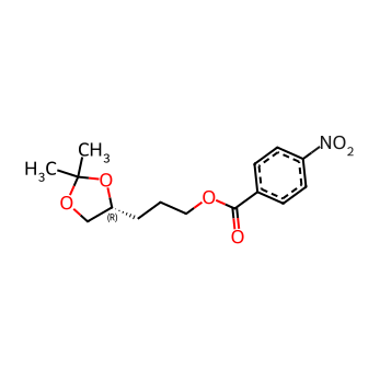 CC1(C)OC[C@@H](CCCOC(=O)c2ccc([N+](=O)[O-])cc2)O1